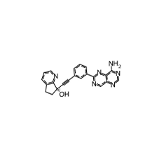 Nc1ncnc2cnc(-c3cccc(C#C[C@@]4(O)CCc5cccnc54)c3)nc12